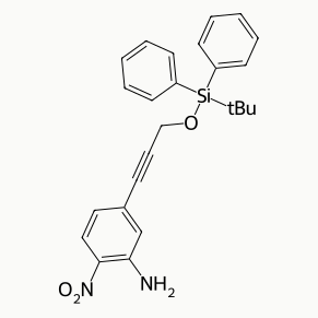 CC(C)(C)[Si](OCC#Cc1ccc([N+](=O)[O-])c(N)c1)(c1ccccc1)c1ccccc1